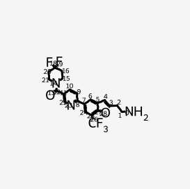 NCCc1cc2cc(-c3ccc(C(=O)N4CCC(F)(F)CC4)cn3)cc(C(F)(F)F)c2o1